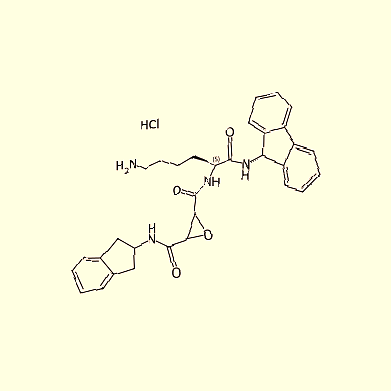 Cl.NCCCC[C@H](NC(=O)C1OC1C(=O)NC1Cc2ccccc2C1)C(=O)NC1c2ccccc2-c2ccccc21